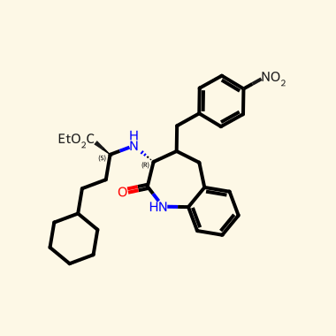 CCOC(=O)[C@H](CCC1CCCCC1)N[C@H]1C(=O)Nc2ccccc2CC1Cc1ccc([N+](=O)[O-])cc1